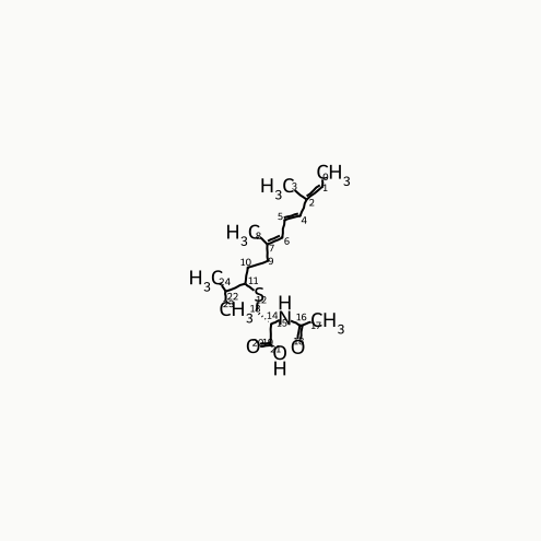 C/C=C(\C)C=C/C=C(\C)CCC(SC[C@H](NC(C)=O)C(=O)O)C(C)C